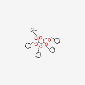 C[Si](C)(C)CCO[C@H]1O[C@H](COCc2ccccc2)[C@@H](OCc2ccccc2)[C@H](OCc2ccccc2)[C@H]1OCc1ccccc1